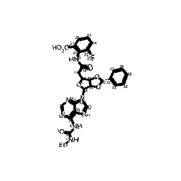 CCNC(=O)Nc1ncnc2c1ncn2C1OC(CC(=O)Nc2c(F)cccc2C(=O)O)C2O[C@H](c3ccccc3)OC21